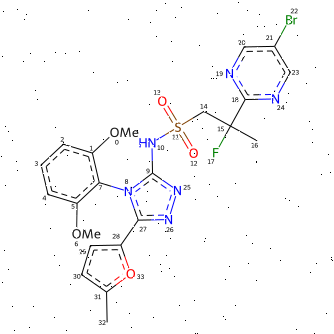 COc1cccc(OC)c1-n1c(NS(=O)(=O)CC(C)(F)c2ncc(Br)cn2)nnc1-c1ccc(C)o1